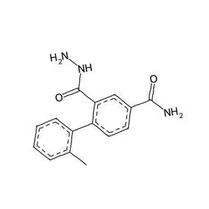 Cc1ccccc1-c1ccc(C(N)=O)cc1C(=O)NN